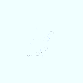 COc1cc2ncnc(Nc3ccc(F)c(Cl)c3)c2cc1OCCCN1CCOCC1.COc1cc2ncnc(Nc3ccc(F)c(Cl)c3)c2cc1OCCCN1CCOCC1